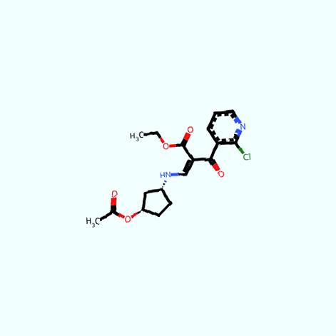 CCOC(=O)C(=CN[C@@H]1CC[C@@H](OC(C)=O)C1)C(=O)c1cccnc1Cl